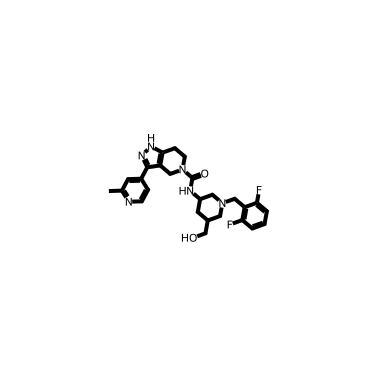 Cc1cc(-c2n[nH]c3c2CN(C(=O)NC2CC(CO)CN(Cc4c(F)cccc4F)C2)CC3)ccn1